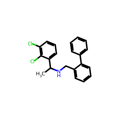 CC(NCc1ccccc1-c1ccccc1)c1cccc(Cl)c1Cl